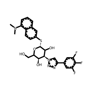 CN(C)c1cccc2cc(S[C@H]3OC(CO)[C@H](O)[C@H](n4cc(-c5cc(F)c(F)c(F)c5)nn4)C3O)ccc12